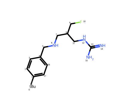 CC(C)(C)c1ccc(CNCC(CF)CNC(=N)N)cc1